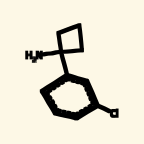 NC1(c2cccc(Cl)c2)CCC1